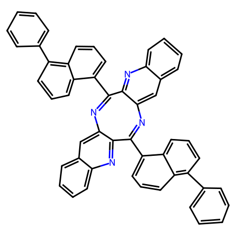 c1ccc(-c2cccc3c(/C4=N/c5cc6ccccc6nc5/C(c5cccc6c(-c7ccccc7)cccc56)=N\c5cc6ccccc6nc54)cccc23)cc1